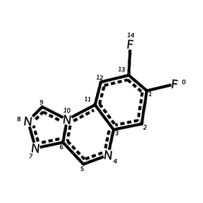 Fc1cc2ncc3nncn3c2cc1F